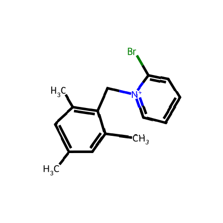 Cc1cc(C)c(C[n+]2ccccc2Br)c(C)c1